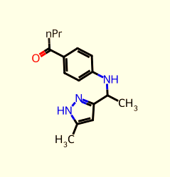 CCCC(=O)c1ccc(NC(C)c2cc(C)[nH]n2)cc1